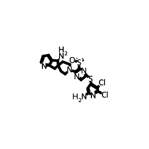 C[S+]([O-])c1nc(Sc2cc(N)nc(Cl)c2Cl)cnc1N1CCC2(CC1)Cc1ncccc1[C@H]2N